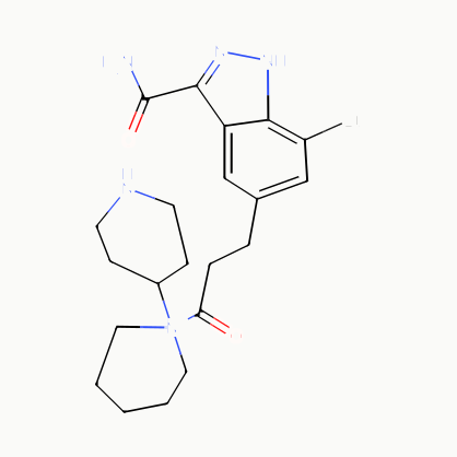 CCc1cc(C[CH]C(=O)[N+]2(C3CCNCC3)CCCCC2)cc2c(C(N)=O)n[nH]c12